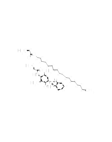 C=CC(=O)Nc1c(C)cc(-n2nc3ccccc3n2)c(O)c1C.C=CC(=O)OCCCCCCCCCCCCCCCCCC